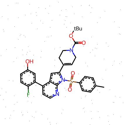 Cc1ccc(S(=O)(=O)n2c(C3=CCN(C(=O)OC(C)(C)C)CC3)cc3c(-c4cc(O)ccc4F)ccnc32)cc1